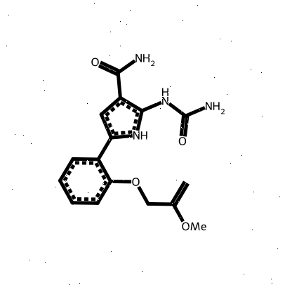 C=C(COc1ccccc1-c1cc(C(N)=O)c(NC(N)=O)[nH]1)OC